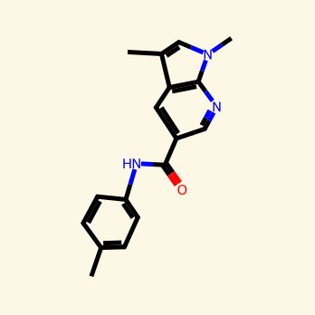 Cc1ccc(NC(=O)c2cnc3c(c2)c(C)cn3C)cc1